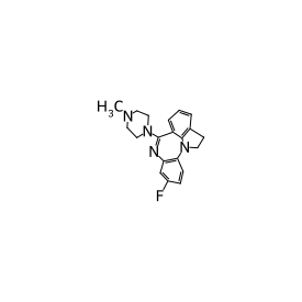 CN1CCN(C2=Nc3cc(F)ccc3N3CCc4cccc2c43)CC1